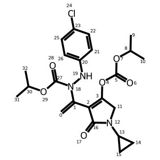 C=C(C1=C(OC(=O)OC(C)C)CN(C2CC2)C1=O)N(Nc1ccc(Cl)cc1)C(=O)OC(C)C